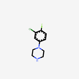 Fc1ccc(N2CCNCC2)cc1Cl